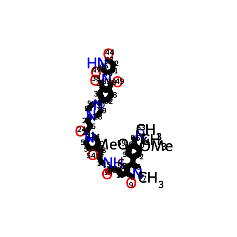 COc1cc(-c2cn(C)c(=O)c3cc(C(=O)NCC4CC5(CCN(C(=O)CCN6CCN(c7ccc8c(c7)C(=O)N(C7CCC(=O)NC7=O)C8=O)CC6)CC5)O4)sc23)cc(OC)c1CN(C)C